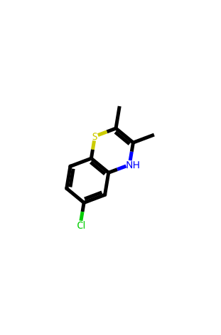 CC1=C(C)Sc2ccc(Cl)cc2N1